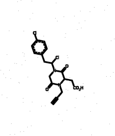 C#CCN1C(=O)CN(C(Cl)Cc2ccc(Cl)cc2)C(=O)C1CC(=O)O